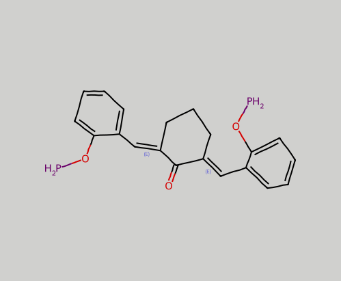 O=C1/C(=C/c2ccccc2OP)CCC/C1=C\c1ccccc1OP